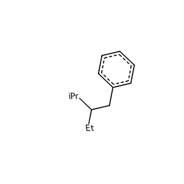 CCC(Cc1ccccc1)C(C)C